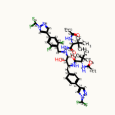 CCC(=O)N[C@H](C(=O)N[C@@H](Cc1ccc(-c2cnn(C(F)F)c2)cc1)[C@@H](O)CN(Cc1c(F)cc(-c2cnn(C(F)F)c2)cc1F)NC(=O)[C@@H](NC(=O)CC)C(C)(C)C(F)(F)F)C(C)(C)C(F)(F)F